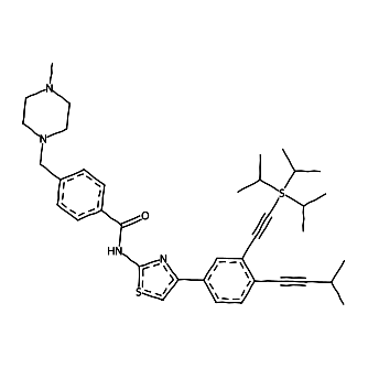 CC(C)C#Cc1ccc(-c2csc(NC(=O)c3ccc(CN4CCN(C)CC4)cc3)n2)cc1C#CS(C(C)C)(C(C)C)C(C)C